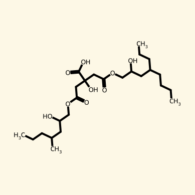 CCCCC(CCC)CC(O)COC(=O)CC(O)(CC(=O)OCC(O)CC(C)CCC)C(=O)O